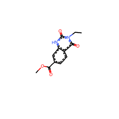 CCn1c(=O)[nH]c2cc(C(=O)OC)ccc2c1=O